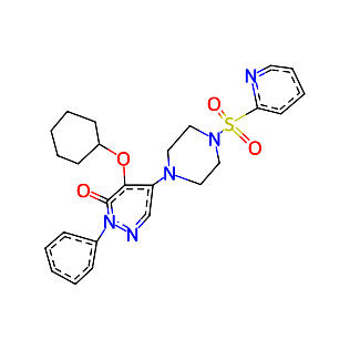 O=c1c(OC2CCCCC2)c(N2CCN(S(=O)(=O)c3ccccn3)CC2)cnn1-c1ccccc1